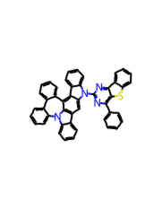 c1ccc(-c2nc(-n3c4ccccc4c4c5c6c(cc43)c3ccccc3n6-c3ccccc3-c3ccccc3-5)nc3c2sc2ccccc23)cc1